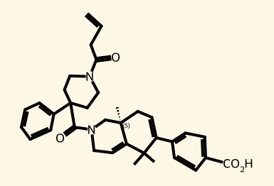 C=CCC(=O)N1CCC(C(=O)N2CC=C3C(C)(C)C(c4ccc(C(=O)O)cc4)=CC[C@]3(C)C2)(c2ccccc2)CC1